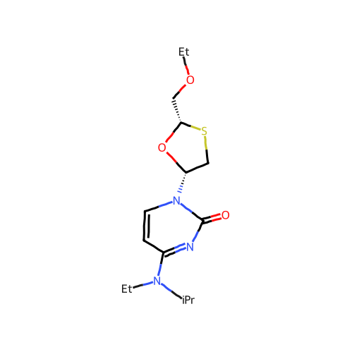 CCOC[C@H]1O[C@@H](n2ccc(N(CC)C(C)C)nc2=O)CS1